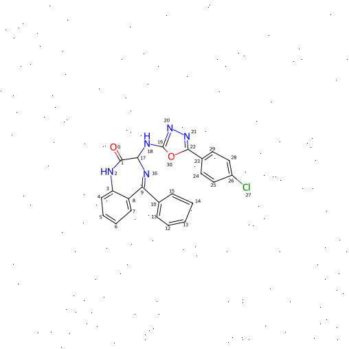 O=C1Nc2ccccc2C(c2ccccc2)=NC1Nc1nnc(-c2ccc(Cl)cc2)o1